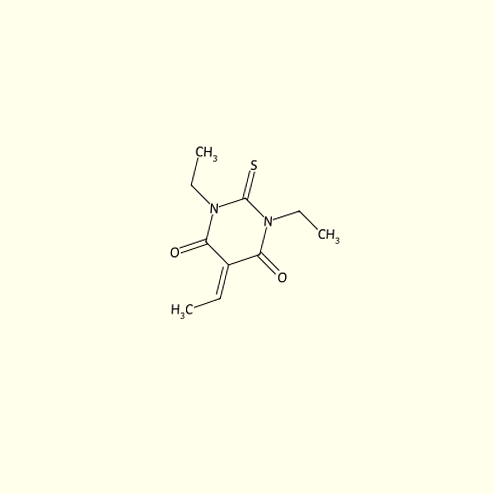 CC=C1C(=O)N(CC)C(=S)N(CC)C1=O